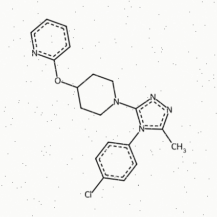 Cc1nnc(N2CCC(Oc3ccccn3)CC2)n1-c1ccc(Cl)cc1